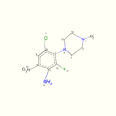 CCN1CCN(c2c(Cl)cc([N+](=O)[O-])c(N)c2F)CC1